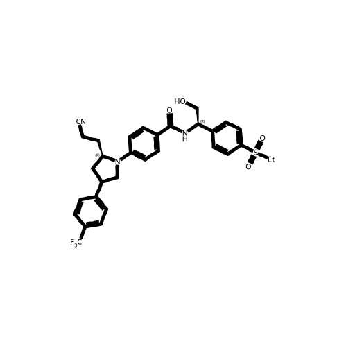 CCS(=O)(=O)c1ccc([C@H](CO)NC(=O)c2ccc(N3CC(c4ccc(C(F)(F)F)cc4)C[C@H]3CCC#N)cc2)cc1